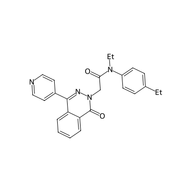 CCc1ccc(N(CC)C(=O)Cn2nc(-c3ccncc3)c3ccccc3c2=O)cc1